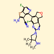 CNC1CN(c2ncc3c4c(c(-c5ncc(F)c6sc(N)c(C#N)c56)c(F)c3n2)COC4)CC1(C)C